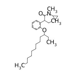 CCCCCCCCCC(CC)Oc1ccccc1C(CC)C(=O)N(C)C1CC1